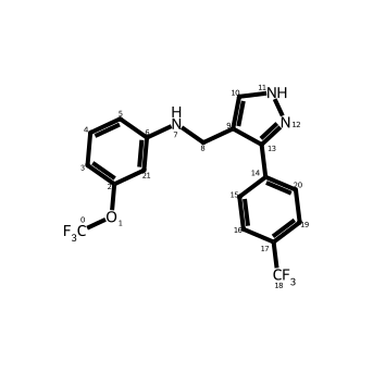 FC(F)(F)Oc1cccc(NCc2c[nH]nc2-c2ccc(C(F)(F)F)cc2)c1